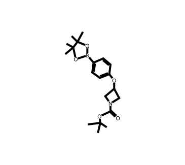 CC(C)(C)OC(=O)N1CC(Oc2ccc(B3OC(C)(C)C(C)(C)O3)cc2)C1